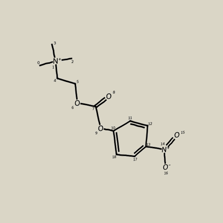 C[N+](C)(C)CCOC(=O)Oc1ccc([N+](=O)[O-])cc1